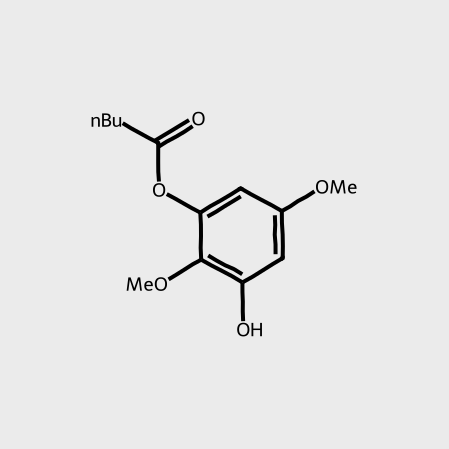 [CH2]CCCC(=O)Oc1cc(OC)cc(O)c1OC